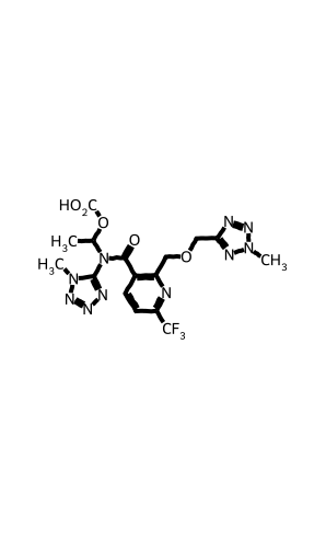 CC(OC(=O)O)N(C(=O)c1ccc(C(F)(F)F)nc1COCc1nnn(C)n1)c1nnnn1C